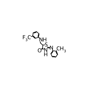 Cc1ccccc1N=C1NC(=O)C(CNc2cccc(C(F)(F)F)c2)S1